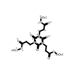 CCCCCCCCOC(=O)CCn1c(=O)n(CCC(=O)OCCCCCCCC)c(=O)n(CCC(=O)OCCCCCCCC)c1=O